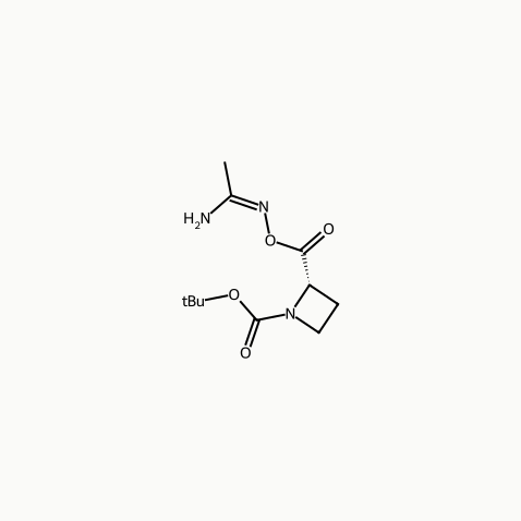 CC(N)=NOC(=O)[C@@H]1CCN1C(=O)OC(C)(C)C